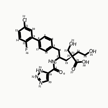 O=C(NC(Cc1ccc(-c2cc(Cl)ccc2F)cc1)C[C@@](CO)(CCO)C(=O)O)c1cnn[nH]1